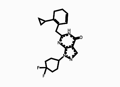 O=c1[nH]c(CC2=C(C3CC3)CCC=C2)nc2c1cnn2C1CCC(F)(F)CC1